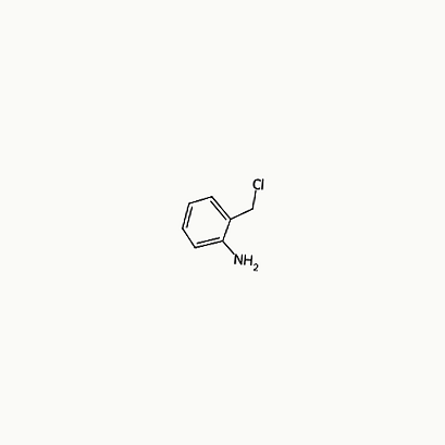 Nc1ccccc1CCl